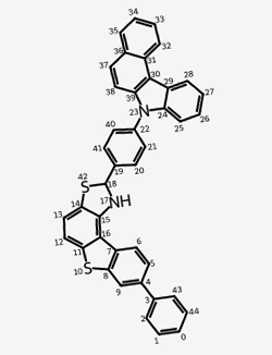 c1ccc(-c2ccc3c(c2)sc2ccc4c(c23)NC(c2ccc(-n3c5ccccc5c5c6ccccc6ccc53)cc2)S4)cc1